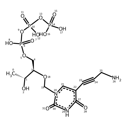 C[C@@H](O)[C@@H](COP(=O)(O)OP(=O)(O)OP(=O)(O)O)OCn1cc(C#CCN)c(=O)[nH]c1=O